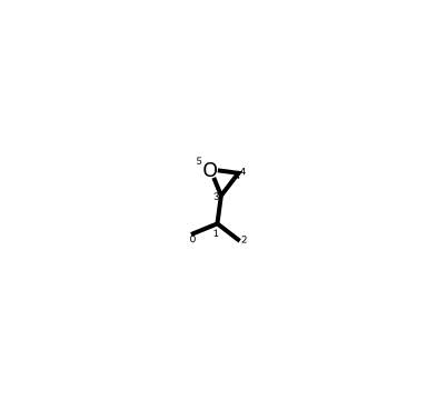 CC(C)C1[CH]O1